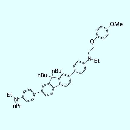 CCCCC1(CCCC)c2cc(-c3ccc(N(CC)CCC)cc3)ccc2-c2ccc(-c3ccc(N(CC)CCOc4ccc(OC)cc4)cc3)cc21